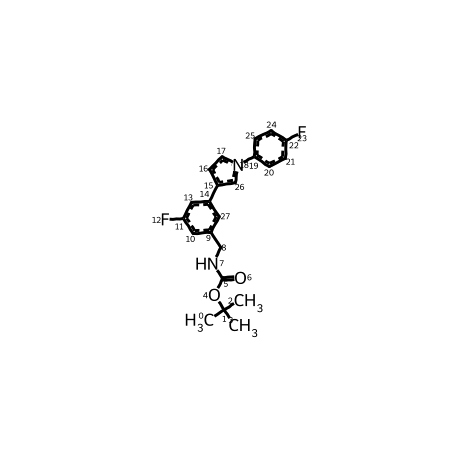 CC(C)(C)OC(=O)NCc1cc(F)cc(-c2ccn(-c3ccc(F)cc3)c2)c1